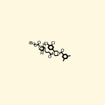 CCC(C)OC(=O)N1C[C@@H]2C[C@H]1CN2CCC(=O)N1CCN(C(=O)c2cc(C)cc(C)c2)CC1c1ccc(Cl)c(Cl)c1